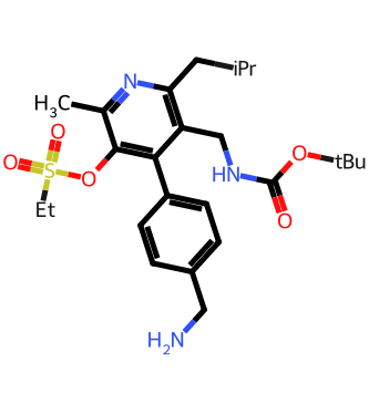 CCS(=O)(=O)Oc1c(C)nc(CC(C)C)c(CNC(=O)OC(C)(C)C)c1-c1ccc(CN)cc1